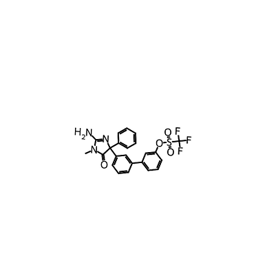 CN1C(=O)C(c2ccccc2)(c2cccc(-c3cccc(OS(=O)(=O)C(F)(F)F)c3)c2)N=C1N